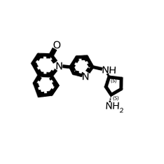 N[C@H]1CC[C@H](Nc2ccc(-n3c(=O)ccc4ccccc43)cn2)C1